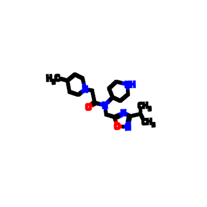 CC1CCN(CC(=O)N(Cc2nc(C(C)C)no2)C2CCNCC2)CC1